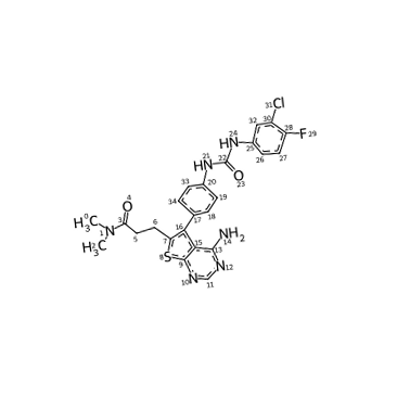 CN(C)C(=O)CCc1sc2ncnc(N)c2c1-c1ccc(NC(=O)Nc2ccc(F)c(Cl)c2)cc1